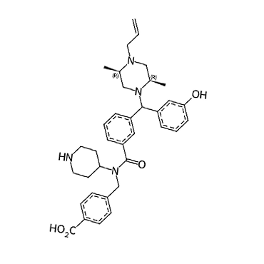 C=CCN1C[C@@H](C)N(C(c2cccc(O)c2)c2cccc(C(=O)N(Cc3ccc(C(=O)O)cc3)C3CCNCC3)c2)C[C@H]1C